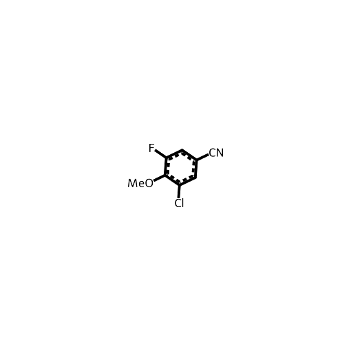 COc1c(F)cc(C#N)cc1Cl